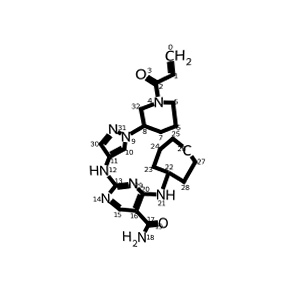 C=CC(=O)N1CCCC(n2cc(Nc3ncc(C(N)=O)c(NC4CCCCCC4)n3)cn2)C1